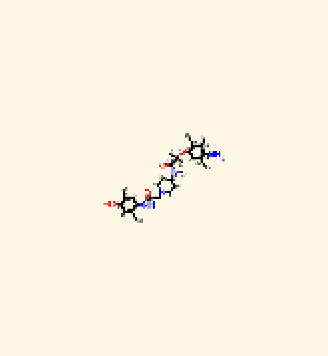 Cc1cc(NC(=O)CN2CCC(N(C)C(=O)C(C)(C)Oc3cc(C)c(N)c(C)c3C)CC2)c(C)cc1O